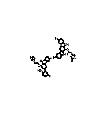 Cc1nnn(CCOc2c3[nH]c4ccc(F)cc4c3cc3c2[nH]c2ccc(F)cc23)n1.Fc1ccc2[nH]c3c(OCCn4cncn4)c4[nH]c5ccc(F)cc5c4cc3c2c1